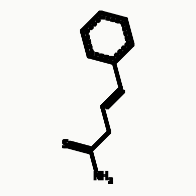 NC(=S)CC=Cc1ccccc1